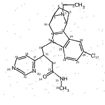 CCN1C2CCC1c1c(n(CC(CC(=O)NC)c3ccncn3)c3ccc(Cl)cc13)C2